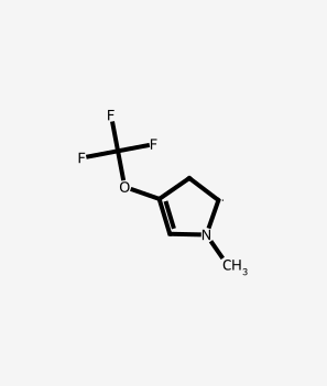 CN1[CH]CC(OC(F)(F)F)=C1